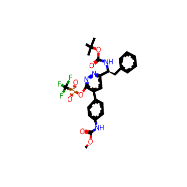 COC(=O)Nc1ccc(-c2cc([C@H](Cc3ccccc3)NC(=O)OC(C)(C)C)nnc2OS(=O)(=O)C(F)(F)F)cc1